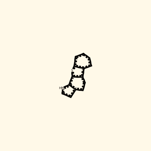 c1ccc2c(c1)sc1c2ccc2cc[nH]c21